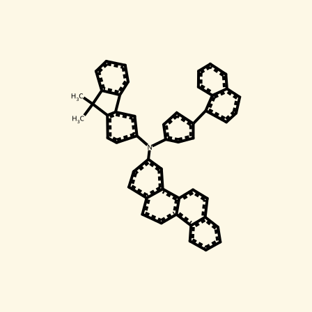 CC1(C)c2ccccc2-c2cc(N(c3ccc(-c4cccc5ccccc45)cc3)c3ccc4ccc5c6ccccc6ccc5c4c3)ccc21